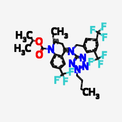 CCCCn1nnc(N(Cc2cc(C(F)(F)F)cc(C(F)(F)F)c2)[C@H]2C[C@@H](CC)N(C(=O)OC(C)C)c3ccc(C(F)(F)F)cc32)n1